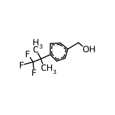 CC(C)(c1ccc(CO)cc1)C(F)(F)F